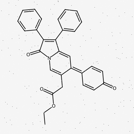 CCOC(=O)CC1=CN2C(=O)C(c3ccccc3)=C(c3ccccc3)C2=CC1=C1C=CC(=O)C=C1